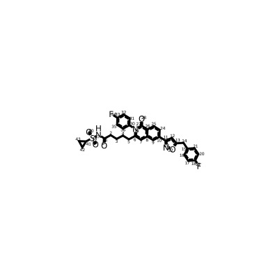 O=C(CCCCc1cc2cc(-c3cc(Cc4ccc(F)cc4)on3)ccc2c(=O)n1-c1ccc(F)cc1)NS(=O)(=O)C1CC1